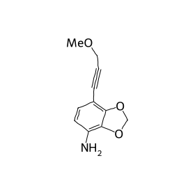 COCC#Cc1ccc(N)c2c1OCO2